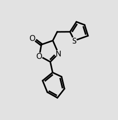 O=C1OC(c2ccccc2)=NC1Cc1cccs1